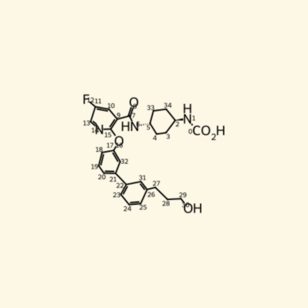 O=C(O)N[C@H]1CC[C@H](NC(=O)c2cc(F)cnc2Oc2cccc(-c3cccc(CCCO)c3)c2)CC1